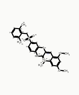 COc1cc(OC)c(/C=C2/Sc3cc(S(=O)(=O)Cc4c(C)cccc4C)ccc3NC2=O)c(OC)c1